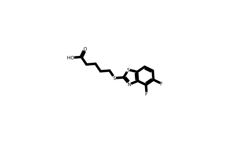 O=C(O)CCCCSc1nc2c(F)c(F)ccc2s1